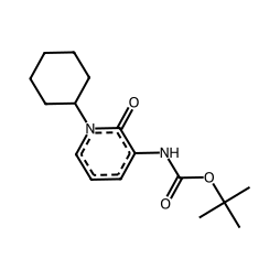 CC(C)(C)OC(=O)Nc1cccn(C2CCCCC2)c1=O